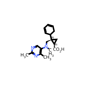 Cc1ncc(N(C)C[C@@]2(C3C=CC=CC3)C[C@H]2C(=O)O)c(C)n1